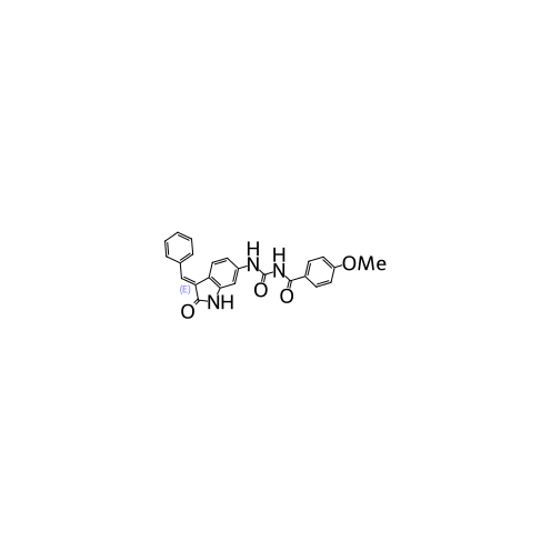 COc1ccc(C(=O)NC(=O)Nc2ccc3c(c2)NC(=O)/C3=C/c2ccccc2)cc1